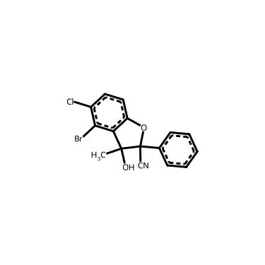 CC1(O)c2c(ccc(Cl)c2Br)OC1(C#N)c1ccccc1